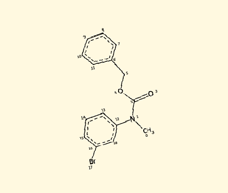 CN(C(=O)OCc1ccccc1)c1cccc(Br)c1